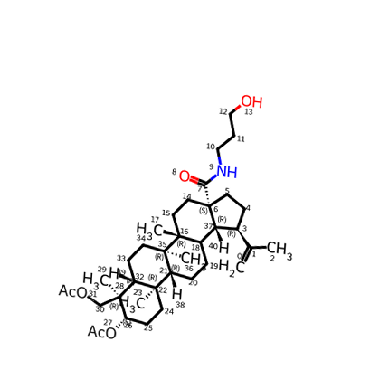 C=C(C)[C@@H]1CC[C@]2(C(=O)NCCCO)CC[C@]3(C)C(CC[C@@H]4[C@@]5(C)CC[C@H](OC(C)=O)[C@@](C)(COC(C)=O)[C@@H]5CC[C@]43C)[C@@H]12